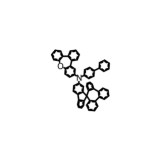 c1ccc(-c2ccc(N(c3ccc4c(c3)-c3ccccc3-c3ccccc3O4)c3ccc4c(c3)C3(c5ccccc5-c5ccccc5-c5ccccc53)c3ccccc3-4)cc2)cc1